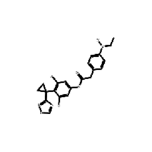 CC[S+]([O-])c1ccc(CC(=O)Nc2cc(Cl)c(C3(c4ncon4)CC3)c(Cl)c2)cc1